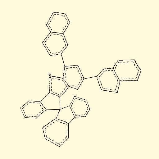 c1ccc2c(c1)-c1ccccc1C21c2ccccc2-c2sc3c(-c4ccc5ccccc5c4)cc(-c4ccc5ccccc5c4)cc3c21